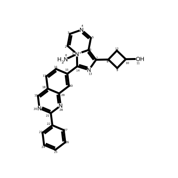 N[N+]12C=CN=CC1=C(C1CC(O)C1)N=C2c1ccc2cnc(-c3ccccc3)nc2c1